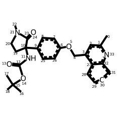 Cc1cc(COc2ccc(C3(NC(=O)OC(C)(C)C)CCN(C)C3=O)cc2)c2ccccc2n1